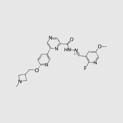 COc1cnc(F)c(/C=N/NC(=O)c2cncc(-c3ccc(OCC4CN(C)C4)nc3)n2)c1